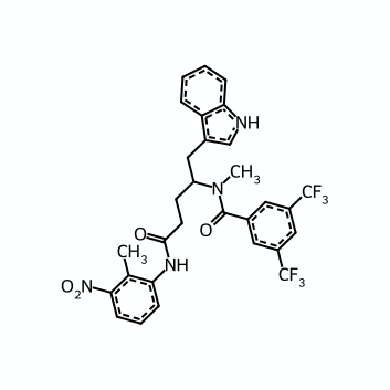 Cc1c(NC(=O)CCC(Cc2c[nH]c3ccccc23)N(C)C(=O)c2cc(C(F)(F)F)cc(C(F)(F)F)c2)cccc1[N+](=O)[O-]